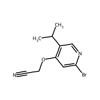 CC(C)c1cnc(Br)cc1OCC#N